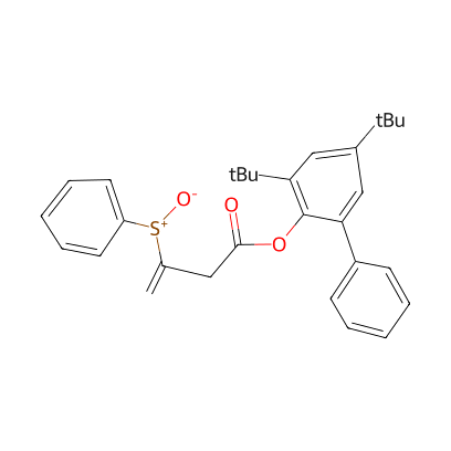 C=C(CC(=O)Oc1c(-c2ccccc2)cc(C(C)(C)C)cc1C(C)(C)C)[S+]([O-])c1ccccc1